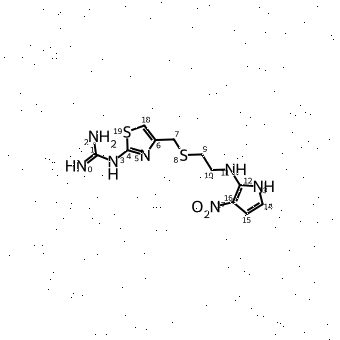 N=C(N)Nc1nc(CSCCNc2[nH]ccc2[N+](=O)[O-])cs1